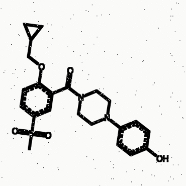 CS(=O)(=O)c1ccc(OCC2CC2)c(C(=O)N2CCN(c3ccc(O)cc3)CC2)c1